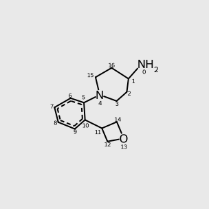 NC1CCN(c2ccccc2C2COC2)CC1